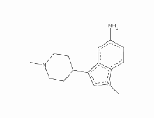 CN1CCC(c2cn(C)c3ccc(N)cc23)CC1